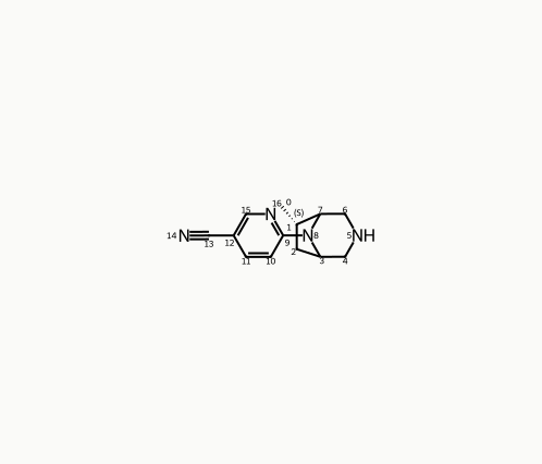 C[C@H]1CC2CNCC1N2c1ccc(C#N)cn1